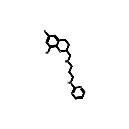 CCc1cc(F)cc2c1OC(CNCCCNc1ncccn1)CC2